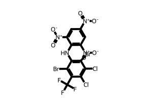 O=[N+]([O-])c1cc([N+](=O)[O-])c(Nc2c(Br)c(Cl)c(Cl)c(C(F)(F)F)c2Br)c([N+](=O)[O-])c1